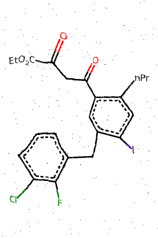 CCCc1cc(I)c(Cc2cccc(Cl)c2F)cc1C(=O)CC(=O)C(=O)OCC